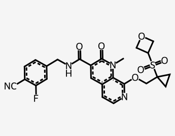 Cn1c(=O)c(C(=O)NCc2ccc(C#N)c(F)c2)cc2ccnc(OCC3(S(=O)(=O)C4COC4)CC3)c21